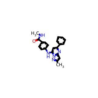 CNC(=O)c1ccc(Nc2cc(-c3ccccc3)nc3cc(C)nn23)cc1